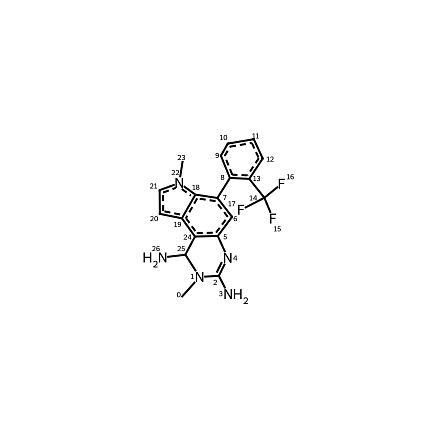 CN1C(N)=Nc2cc(-c3ccccc3C(F)(F)F)c3c(ccn3C)c2C1N